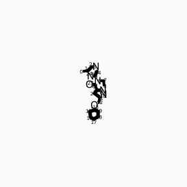 Cc1cncc(N2CCn3nc(COc4ccccc4)cc3C2=O)n1